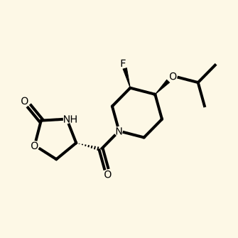 CC(C)O[C@H]1CCN(C(=O)[C@@H]2COC(=O)N2)C[C@H]1F